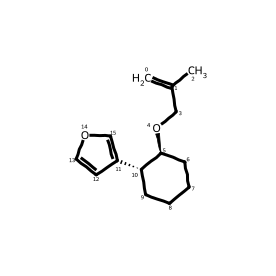 C=C(C)CO[C@H]1CCCC[C@@H]1c1ccoc1